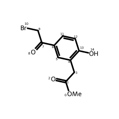 COC(=O)Cc1cc(C(=O)CBr)ccc1O